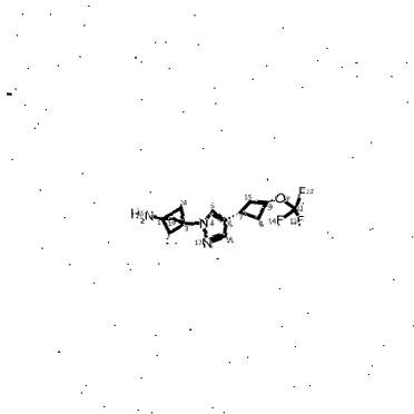 NC12CC(n3cc([C@H]4C[C@@H](OC(F)(F)F)C4)cn3)(C1)C2